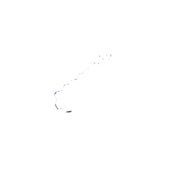 CC/C=C\C/C=C\C/C=C\CCCCCCCCOC(=O)CNC